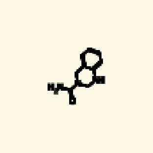 NC(=O)N1CNc2ccccc2C1